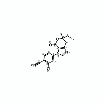 CC1(CI)Cc2ncn(-c3ccc(C#N)c(Cl)c3)c2C(=O)O1